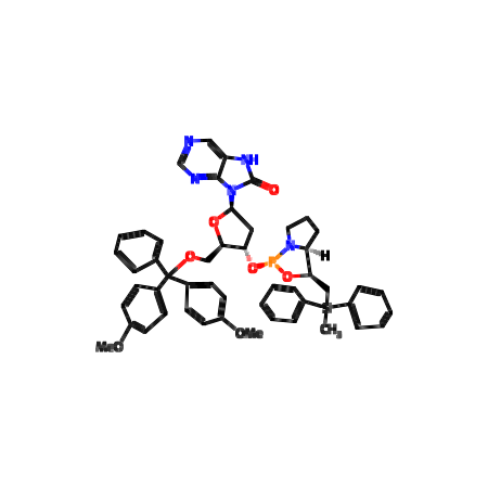 COc1ccc(C(OC[C@H]2O[C@@H](n3c(=O)[nH]c4cncnc43)C[C@@H]2O[P@]2O[C@H](C[Si](C)(c3ccccc3)c3ccccc3)[C@@H]3CCCN32)(c2ccccc2)c2ccc(OC)cc2)cc1